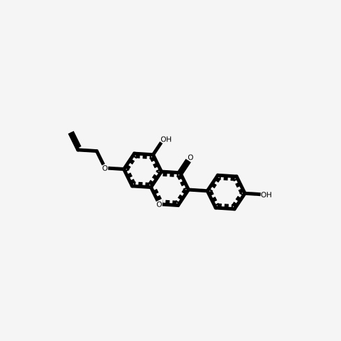 C=CCOc1cc(O)c2c(=O)c(-c3ccc(O)cc3)coc2c1